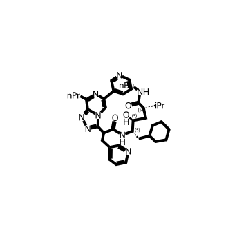 CCCCNC(=O)[C@@H](C[C@H](O)[C@H](CC1CCCCC1)NC(=O)C(Cc1cccnc1)c1nnc2c(CCC)nc(-c3cccnc3)cn12)C(C)C